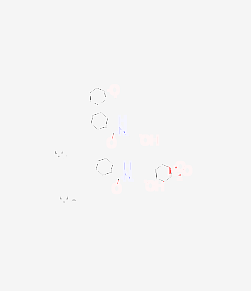 CSCCCc1ccccc1C(=O)NCCO.CSCCCc1ccccc1C(=O)NCCO.O.c1ccc2c(c1)CO2.c1ccc2c(c1)CO2